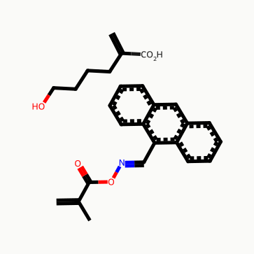 C=C(C)C(=O)ON=Cc1c2ccccc2cc2ccccc12.C=C(CCCCO)C(=O)O